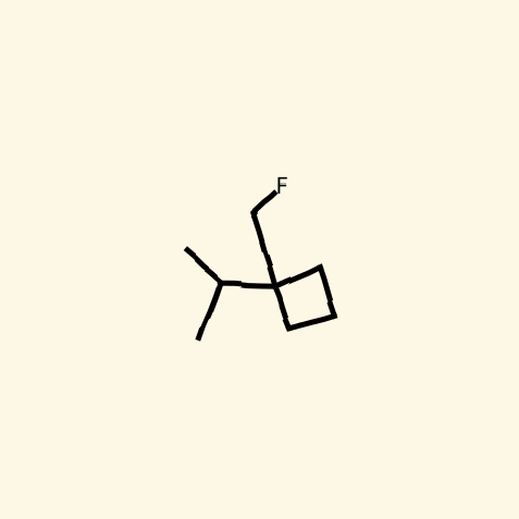 CC(C)C1(CF)CCC1